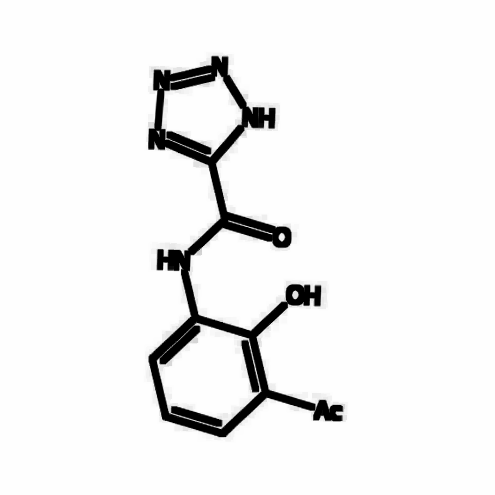 CC(=O)c1cccc(NC(=O)c2nnn[nH]2)c1O